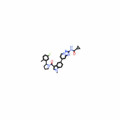 Cc1ccc(F)cc1C1CCCN1C(=O)c1cn(C)c2ccc(-c3ccn4nc(NC(=O)C5CC5)nc4c3)cc12